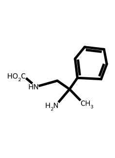 CC(N)(CNC(=O)O)c1ccccc1